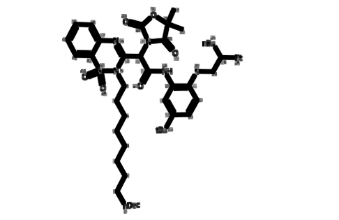 CCCCCCCCCCCCCCCCCCN1C(C(C(=O)Nc2cc(C(C)(C)C)ccc2SCC(CC)CCCC)N2C(=O)OC(C)(C)C2=O)=Nc2ccccc2S1(=O)=O